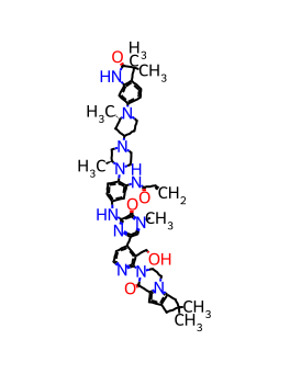 C=CC(=O)Nc1cc(Nc2nc(-c3ccnc(N4CCn5c(cc6c5CC(C)(C)C6)C4=O)c3CO)cn(C)c2=O)ccc1N1CCN(C2CCN(c3ccc4c(c3)NC(=O)C4(C)C)[C@@H](C)C2)C[C@@H]1C